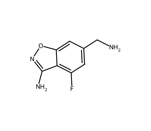 NCc1cc(F)c2c(N)noc2c1